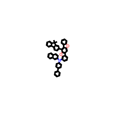 CC1(C)c2ccccc2-c2ccc(-c3c4oc5c(N(c6ccc(-c7ccccc7)cc6)c6ccc7ccccc7c6)cccc5c4cc4oc5ccccc5c34)cc21